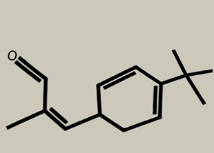 CC(C=O)=CC1C=CC(C(C)(C)C)=CC1